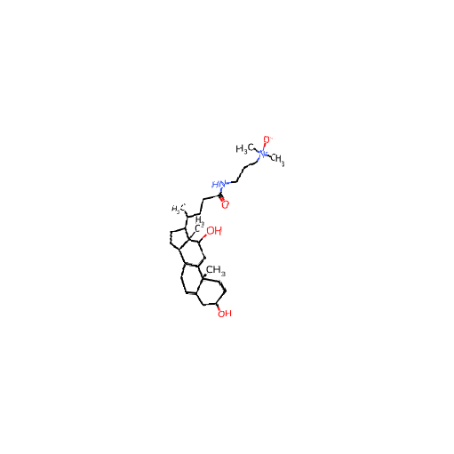 CC(CCC(=O)NCCC[N+](C)(C)[O-])C1CCC2C3CCC4CC(O)CCC4(C)C3CC(O)C12C